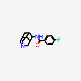 O=C(NC1C2CC3CC1CN(C3)C2)c1ccc(F)cc1